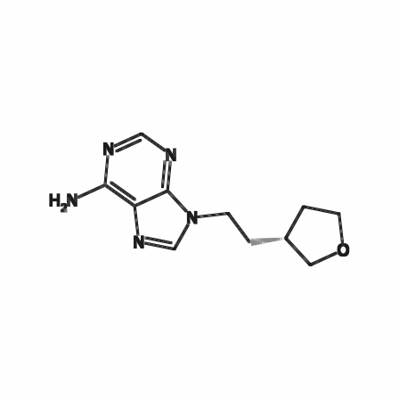 Nc1ncnc2c1ncn2CC[C@@H]1CCOC1